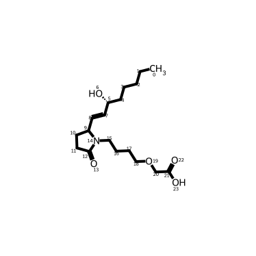 CCCCC[C@@H](O)/C=C/C1CCC(=O)N1CCCCOCC(=O)O